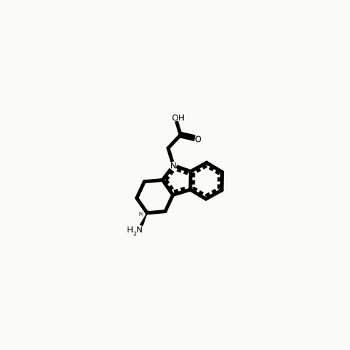 N[C@H]1CCc2c(c3ccccc3n2CC(=O)O)C1